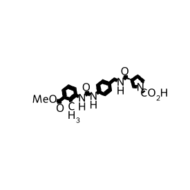 COC(=O)c1cccc(NC(=O)Nc2ccc(CNC(=O)[C@H]3CCN(C(=O)O)C3)cc2)c1C